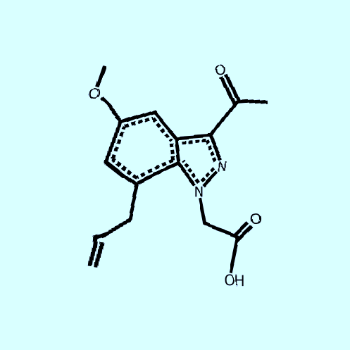 C=CCc1cc(OC)cc2c(C(C)=O)nn(CC(=O)O)c12